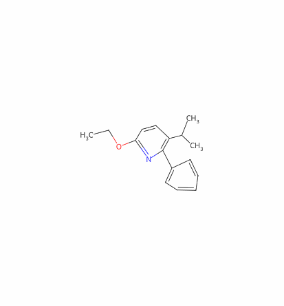 CCOc1ccc(C(C)C)c(-c2ccccc2)n1